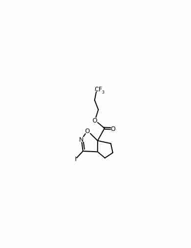 O=C(OCCC(F)(F)F)C12CCCC1C(I)=NO2